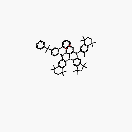 Cc1cc2c3c(c1)N(c1ccc(C(C)(C)c4ccccc4)cc1-c1ccccc1)c1cc4c(cc1B3c1cc3c(cc1N2c1cc2c(cc1C)C(C)(C)CCC2(C)C)C(C)(C)CC3(C)C)C(C)(C)CCC4(C)C